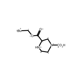 CC(C)(C)COC(=O)C1CN(C(=O)O)CCN1